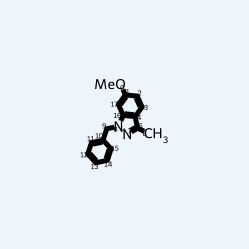 COc1ccc2c(C)nn(Cc3ccccc3)c2c1